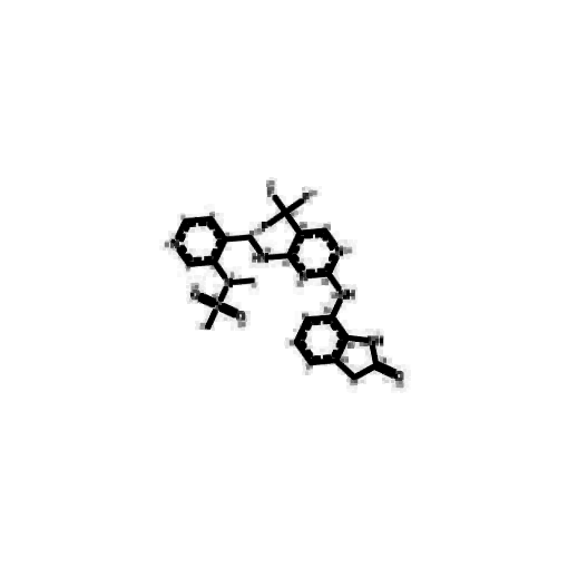 CN(c1cnccc1CNc1nc(Nc2cccc3c2NC(=O)C3)ncc1C(F)(F)F)S(C)(=O)=O